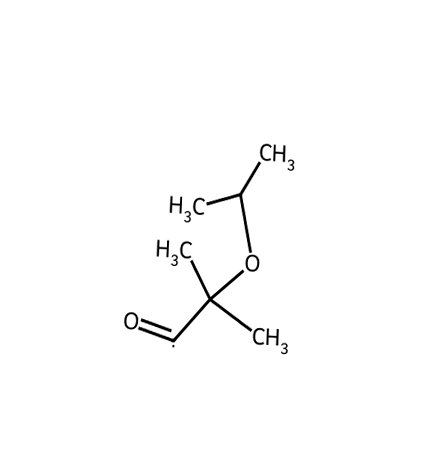 CC(C)OC(C)(C)[C]=O